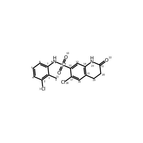 Cc1c(Cl)cccc1NS(=O)(=O)c1cc2c(cc1Cl)CCC(=O)N2